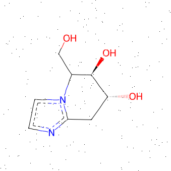 OCC1[C@@H](O)[C@H](O)Cc2nccn21